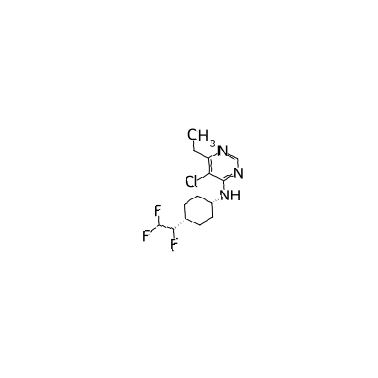 CCc1ncnc(N[C@H]2CC[C@@H](C(F)C(F)F)CC2)c1Cl